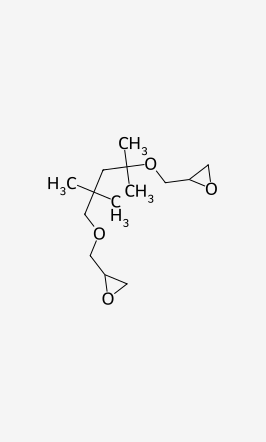 CC(C)(COCC1CO1)CC(C)(C)OCC1CO1